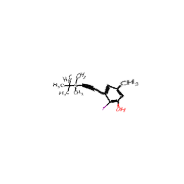 Cc1cc(O)c(I)c(C#C[Si](C)(C)C(C)(C)C)c1